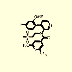 COc1cc(F)ccc1-c1ccncc1N(CCS(C)(=O)=O)C(=O)c1cc(C(F)(F)F)nc(C(F)(F)F)c1